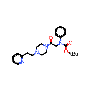 CC(C)(C)OC(=O)N(CC(=O)N1CCN(CCc2ccccn2)CC1)c1ccccc1